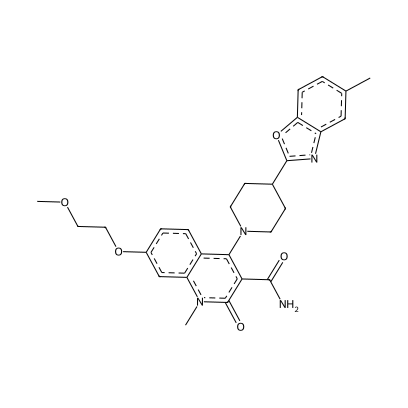 COCCOc1ccc2c(N3CCC(c4nc5cc(C)ccc5o4)CC3)c(C(N)=O)c(=O)n(C)c2c1